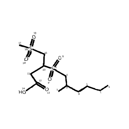 CCCCC(C)CS(=O)(=O)C(CC(=O)O)CS(C)(=O)=O